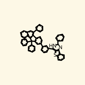 c1ccc(-c2cc3ccccc3c3c2-c2ccc(-c4cccc(C5=c6sc7ccccc7c6=NC(c6ccccc6)N5)c4)cc2C3(c2ccccc2)c2ccccc2)cc1